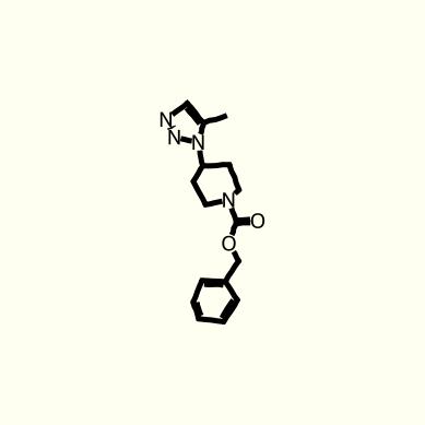 Cc1cnnn1C1CCN(C(=O)OCc2ccccc2)CC1